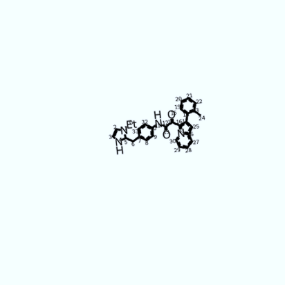 CCN1C=CNC1Cc1ccc(NC(=O)C(=O)c2c(-c3ccccc3C)cc3ccccn23)cc1